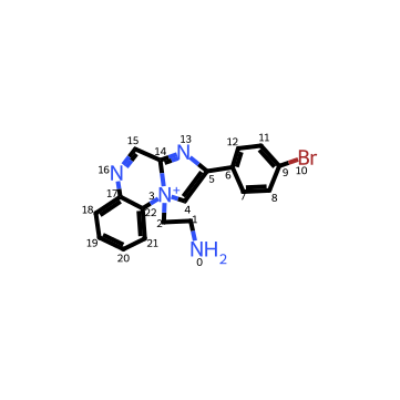 NCC[N+]12C=C(c3ccc(Br)cc3)N=C1C=Nc1ccccc12